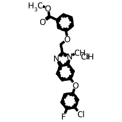 COC(=O)c1cccc(OCc2nc3ccc(Oc4ccc(F)c(Cl)c4)cc3n2C)c1.Cl